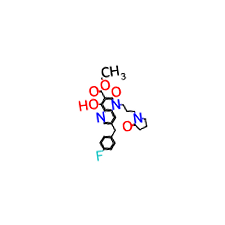 CCOC(=O)c1c(O)c2ncc(Cc3ccc(F)cc3)cc2n(CCCN2CCCC2=O)c1=O